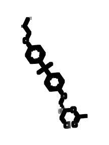 [CH2][CH]COc1ccc(C(C)(C)c2ccc(OC[C@@H](CCl)OC(C)=O)cc2)cc1